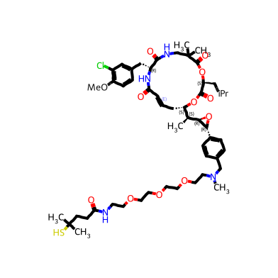 COc1ccc(C[C@H]2NC(=O)/C=C/C[C@@H]([C@H](C)[C@H]3O[C@@H]3c3ccc(CN(C)CCOCCOCCOCCNC(=O)CCC(C)(C)S)cc3)OC(=O)[C@H](CC(C)C)OC(=O)C(C)(C)CNC2=O)cc1Cl